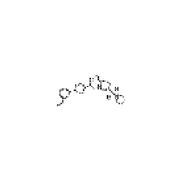 C=Cc1cccc(-c2ccc(C(=O)Cn3cc(S(=O)(=O)N4CCCC4)ccc3=O)cc2)c1